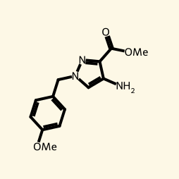 COC(=O)c1nn(Cc2ccc(OC)cc2)cc1N